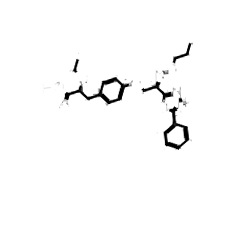 CCCON=C(COc1ccc(CC(OCC)C(=O)O)cc1)c1nnc(-c2ccccc2)o1